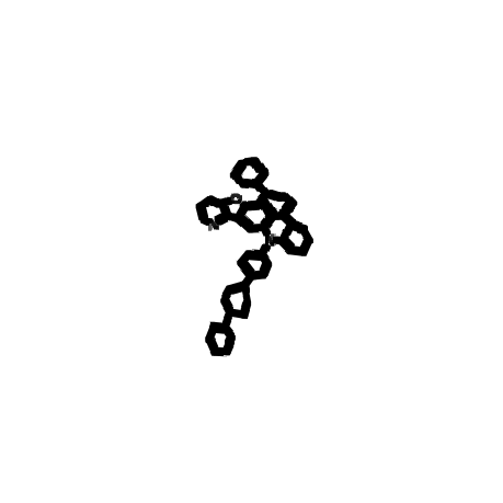 c1ccc(-c2ccc(-c3ccc(N(c4ccc5oc6cccnc6c5c4)c4ccccc4-c4ccc(-c5ccccc5)cc4)cc3)cc2)cc1